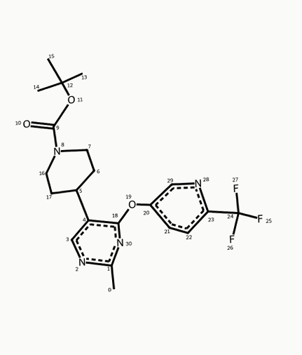 Cc1ncc(C2CCN(C(=O)OC(C)(C)C)CC2)c(Oc2ccc(C(F)(F)F)nc2)n1